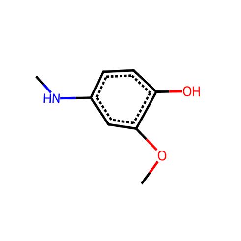 CNc1ccc(O)c(OC)c1